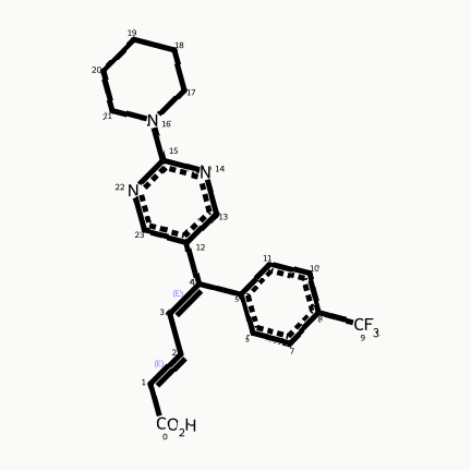 O=C(O)/C=C/C=C(\c1ccc(C(F)(F)F)cc1)c1cnc(N2CCCCC2)nc1